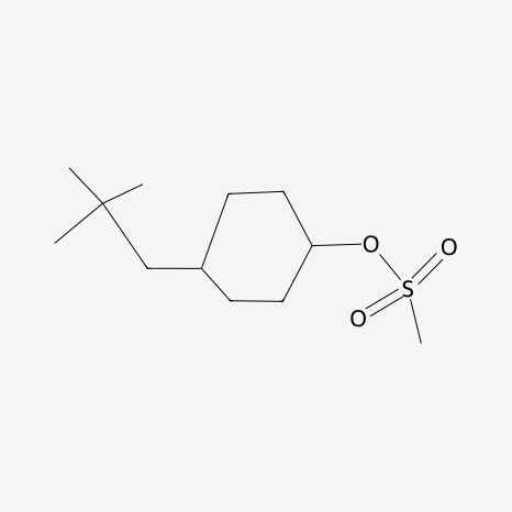 CC(C)(C)CC1CCC(OS(C)(=O)=O)CC1